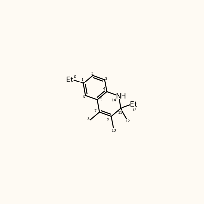 CCc1ccc2c(c1)C(C)=C(C)C(C)(CC)N2